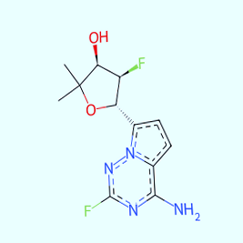 CC1(C)O[C@@H](c2ccc3c(N)nc(F)nn23)[C@H](F)[C@@H]1O